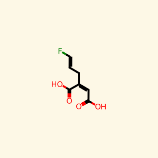 O=C(O)C=C(CC=CF)C(=O)O